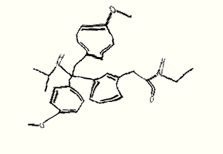 CCNC(=O)Cc1cccc(C(NC(C)C)(c2ccc(OC)cc2)c2ccc(OC)cc2)c1